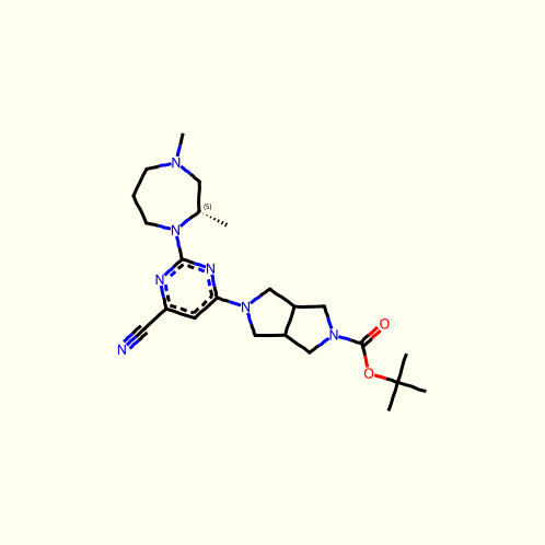 C[C@H]1CN(C)CCCN1c1nc(C#N)cc(N2CC3CN(C(=O)OC(C)(C)C)CC3C2)n1